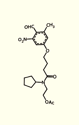 CC(=O)OCCN(C(=O)CCCOc1cc(C)c(C=O)c([N+](=O)[O-])c1)C1CCCC1